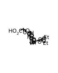 C=C(C)[C@@H]1CC[C@]2(CCC(=O)OC(COCC)COCC)CC[C@]3(C)[C@H](CC[C@@H]4[C@@]5(C)CC[C@H](OC(=O)CC(C)(C)CC(=O)O)C(C)(C)[C@@H]5CC[C@]43C)[C@@H]12